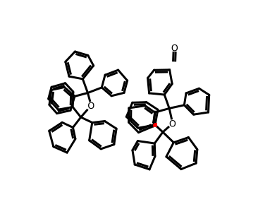 C=O.c1ccc(C(OC(c2ccccc2)(c2ccccc2)c2ccccc2)(c2ccccc2)c2ccccc2)cc1.c1ccc(C(OC(c2ccccc2)(c2ccccc2)c2ccccc2)(c2ccccc2)c2ccccc2)cc1